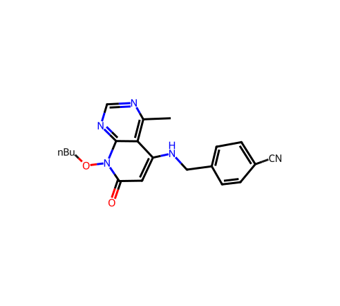 CCCCOn1c(=O)cc(NCc2ccc(C#N)cc2)c2c(C)ncnc21